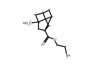 O=C(OCCS)C12CC3(C(=O)O)CC4CC1C43C2